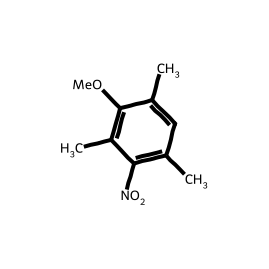 COc1c(C)cc(C)c([N+](=O)[O-])c1C